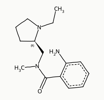 CCN1CCC[C@@H]1CN(C)C(=O)c1ccccc1N